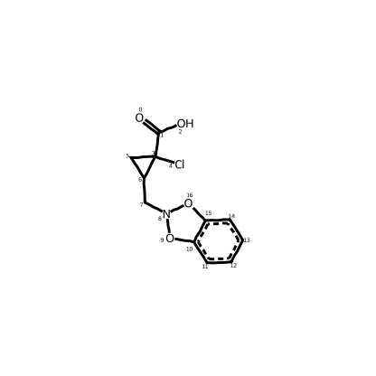 O=C(O)C1(Cl)CC1CN1Oc2ccccc2O1